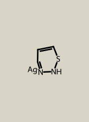 C1=CSNN=C1.[Ag]